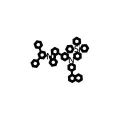 c1ccc(-c2cc(-c3ccccc3)cc(-n3c4ccccc4c4c(-c5ccc(N(c6ccc(-c7cccc8ccccc78)cc6)c6cccc([Si](c7ccccc7)(c7ccccc7)c7ccccc7)c6)cc5)cccc43)c2)cc1